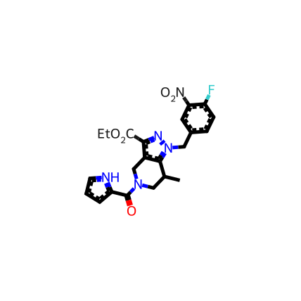 CCOC(=O)c1nn(Cc2ccc(F)c([N+](=O)[O-])c2)c2c1CN(C(=O)c1ccc[nH]1)CC2C